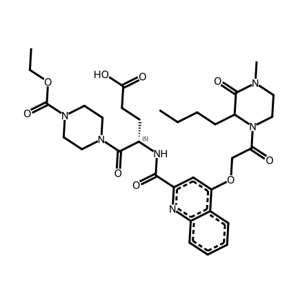 CCCCC1C(=O)N(C)CCN1C(=O)COc1cc(C(=O)N[C@@H](CCC(=O)O)C(=O)N2CCN(C(=O)OCC)CC2)nc2ccccc12